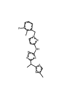 Cc1csc(C(C)c2nnc(Nc3ccn(Cc4cccc(F)c4F)n3)s2)n1